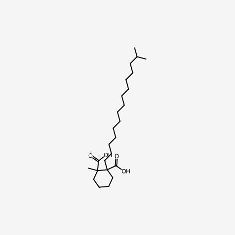 CC(C)CCCCCCCCCCCCCC1(C(=O)O)CCCCC1(C)C(=O)O